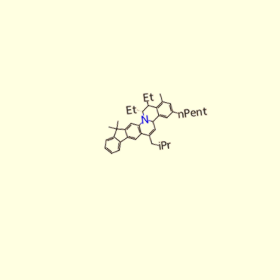 CCCCCc1cc(C)c2c(c1)C1C=C(CC(C)C)c3cc4c(cc3N1[C@H](CC)[C@H]2CC)C(C)(C)c1ccccc1-4